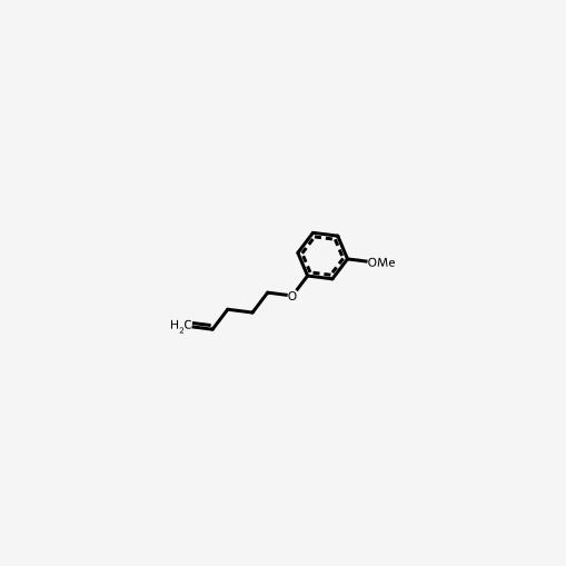 C=CCCCOc1cccc(OC)c1